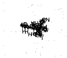 CC(C)(O)c1cnnn1[C@H]1C[C@@H](C(=O)NC(CCCCNC(=O)NC2CC2)C(=O)C(N)=O)N(C(=O)[C@@H](CC2CCCCC2)NC(=O)c2ccc(C#N)cc2)C1